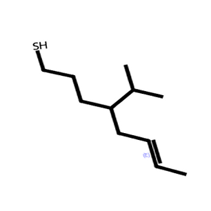 C/C=C/CC(CCCS)C(C)C